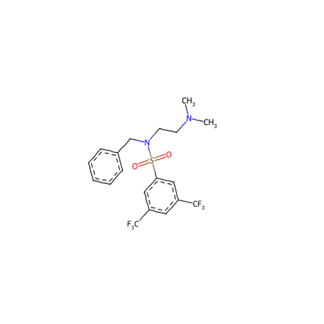 CN(C)CCN(Cc1ccccc1)S(=O)(=O)c1cc(C(F)(F)F)cc(C(F)(F)F)c1